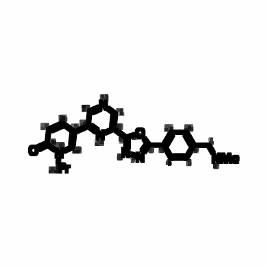 CNCc1ccc(-c2nnc(-c3cncc(-c4ccc(=O)n(C(C)C)c4)n3)o2)cc1